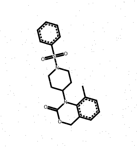 Cc1cccc2c1N(C1CCN(S(=O)(=O)c3ccccc3)CC1)C(=O)OC2